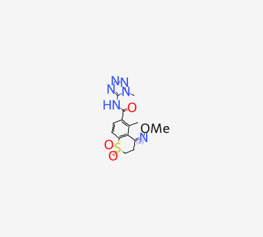 CO/N=C1/CCS(=O)(=O)c2ccc(C(=O)Nc3nnnn3C)c(C)c21